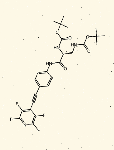 CC(C)(C)OC(=O)NC[C@H](NC(=O)OC(C)(C)C)C(=O)Nc1ccc(C#Cc2c(F)c(F)nc(F)c2F)cc1